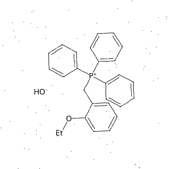 CCOc1ccccc1C[P+](c1ccccc1)(c1ccccc1)c1ccccc1.[OH-]